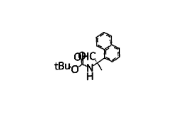 CC(C)(C)OC(=O)N[C@@](C)(C=O)c1cccc2ccccc12